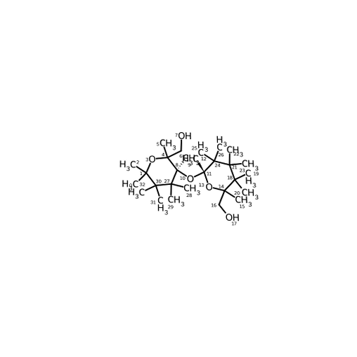 CC1(C)OC(C)(CO)[C@@](C)(O[C@@]2(C)OC(C)(CO)C(C)(C)C(C)(C)C2(C)C)C(C)(C)C1(C)C